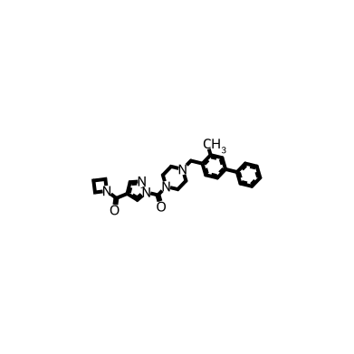 Cc1cc(-c2ccccc2)ccc1CN1CCN(C(=O)n2cc(C(=O)N3CCC3)cn2)CC1